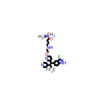 CN(C)C(=O)/C=C/CNCCOc1ccc(/C(=C(/CC(F)(F)F)c2ccncc2F)c2ccc3[nH]nc(F)c3c2)cn1